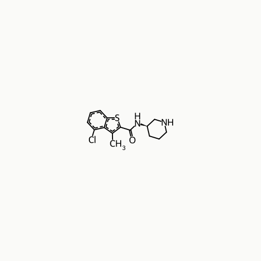 Cc1c(C(=O)N[C@@H]2CCCNC2)sc2cccc(Cl)c12